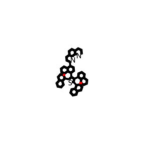 c1ccc2c(-c3sc(-c4cccc5ccccc45)c(-c4ccc(-c5ccc6ccc7cccnc7c6n5)c5ccccc45)c3-c3cccc4ccccc34)cccc2c1